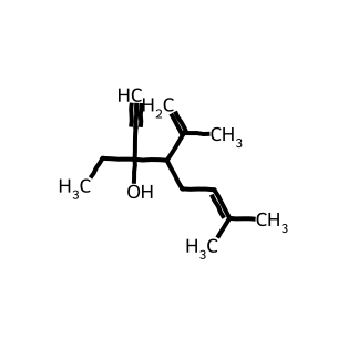 C#CC(O)(CC)C(CC=C(C)C)C(=C)C